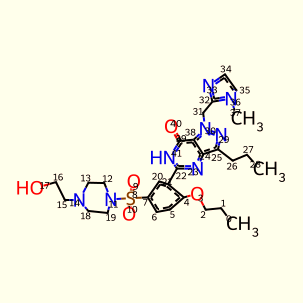 CCCOc1ccc(S(=O)(=O)N2CCN(CCO)CC2)cc1-c1nc2c(CCC)nn(Cc3nccn3C)c2c(=O)[nH]1